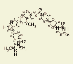 Cc1cc(-c2cnc3[nH]cc(-c4ccc(C(=O)N(C)C[C@H](C)O)cc4)c3c2)cc2c1CN(CCC(=O)N1CCN(c3ccc(N4CCC(=O)NC4=O)cc3)CC1)CC2